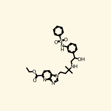 CCOC(=O)c1ccc2c(ncn2CCC(C)(C)NCC(O)c2cccc(NS(=O)(=O)c3ccccc3)c2)n1